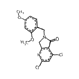 COc1ccc(CN2Cc3nc(Cl)cc(Cl)c3C2=O)c(OC)c1